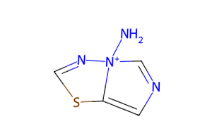 N[N+]12C=NC=C1SC=N2